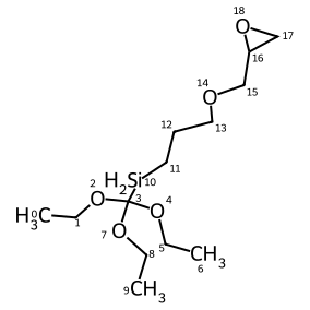 CCOC(OCC)(OCC)[SiH2]CCCOCC1CO1